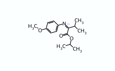 COc1ccc(/N=C(\C(=O)OC(C)C)C(C)C)cc1